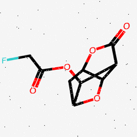 O=C(CF)OC1C2CC3OC(=O)C1C3O2